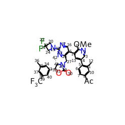 COc1ncc(-c2ccc(C(C)=O)cc2C)cc1-c1cnc(N2CC(F)(F)C2)nc1CN1C(=O)O[C@H](c2cc(C)cc(C(F)(F)F)c2)[C@@H]1C